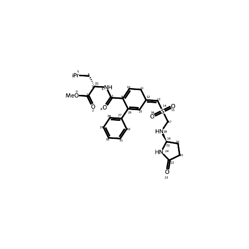 COC(=O)[C@H](CC(C)C)NC(=O)C1=CCC(=CS(=O)(=O)CN[C@H]2CCC(=O)N2)C=C1c1ccccc1